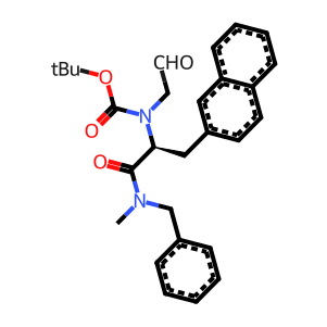 CN(Cc1ccccc1)C(=O)[C@H](Cc1ccc2ccccc2c1)N(CC=O)C(=O)OC(C)(C)C